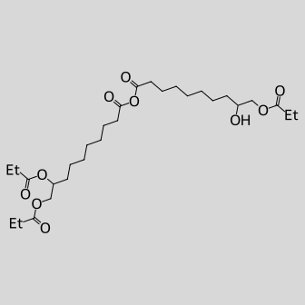 CCC(=O)OCC(O)CCCCCCCC(=O)OC(=O)CCCCCCCC(COC(=O)CC)OC(=O)CC